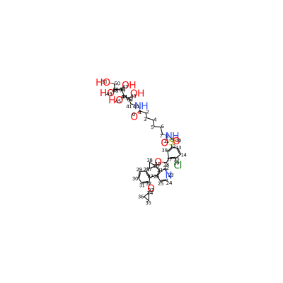 O=C(CCCCCCNS(=O)(=O)c1ccc(Cl)c(COC2(c3cnccc3-c3ccccc3OC3CC3)CC2)c1)NC[C@H](O)[C@@H](O)[C@H](O)[C@H](O)CO